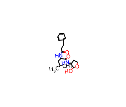 CC(C)CC(NC(=O)CCc1ccccc1)C(=O)N[C@H]1CCOC1O